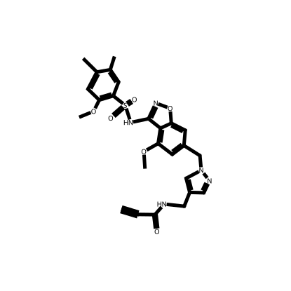 C#CC(=O)NCc1cnn(Cc2cc(OC)c3c(NS(=O)(=O)c4cc(C)c(C)cc4OC)noc3c2)c1